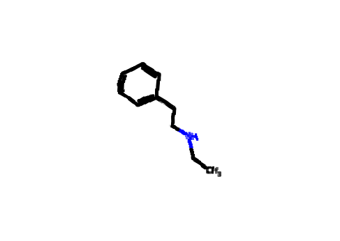 CCN[CH]Cc1ccccc1